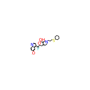 COc1ccc2nccc([C@@H](F)CC[C@@H]3CCN(CCCSC4CCCCC4)C[C@@H]3C(=O)O)c2c1